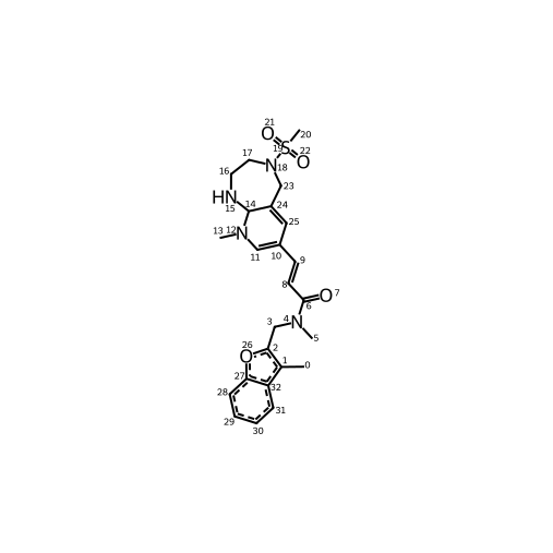 Cc1c(CN(C)C(=O)/C=C/C2=CN(C)C3NCCN(S(C)(=O)=O)CC3=C2)oc2ccccc12